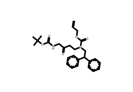 C=CCOC(=O)N(CCC(=O)CNC(=O)OC(C)(C)C)CC(c1ccccc1)c1ccccc1